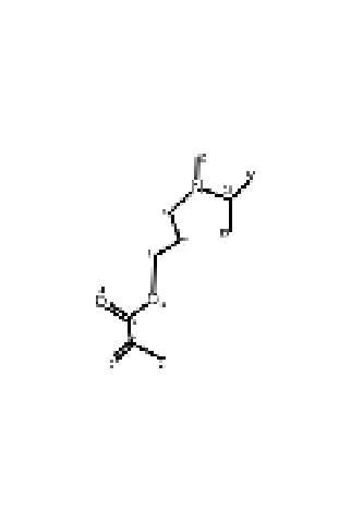 C=C(C)C(=O)OCCCN(C)C(C)C